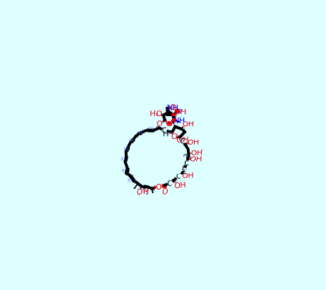 C[C@@H]1[C@H](O)[C@@H](C)/C=C/C=C/C=C/C=C/C=C/C=C/C=C/[C@H](O[C@@H]2O[C@H](C)[C@@H](O)[C@H](N)[C@@H]2O)C[C@@H]2O[C@](O)(C[C@@H](O)C[C@@H](O)[C@H](O)CC[C@@H](O)C[C@@H](O)CC(=O)O[C@H]1C)C[C@H](O)[C@H]2C(=O)N[C@@H]1CCOC1